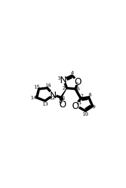 O=C([C@H]1N=COC1c1ccco1)N1CCCC1